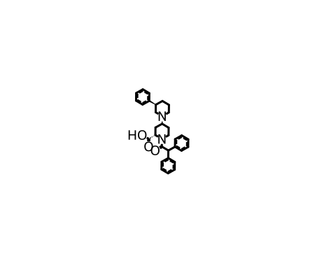 O=C(O)[C@@H]1C[C@H](N2CCC[C@H](c3ccccc3)C2)CCN1C(=O)C(c1ccccc1)c1ccccc1